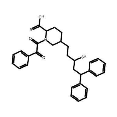 O=C(C(=O)N1CC(CCC(S)CC(c2ccccc2)c2ccccc2)CCC1C(O)=S)c1ccccc1